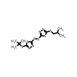 CC(C)CSc1nnc(SSc2nnc(SC(C)(C)C)s2)s1